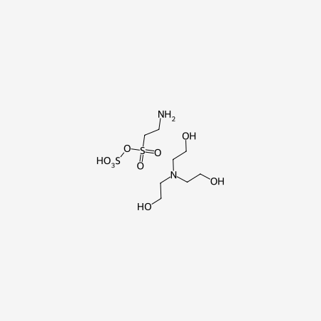 NCCS(=O)(=O)OS(=O)(=O)O.OCCN(CCO)CCO